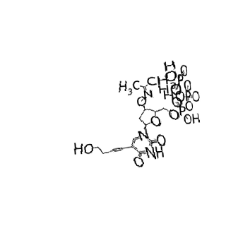 CC(C)=NO[C@@H]1C[C@H](n2cc(C#CCCO)c(=O)[nH]c2=O)OC1COP(=O)(O)OP(=O)(O)OP(=O)(O)O